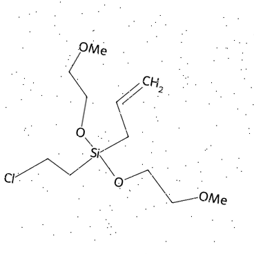 C=CC[Si](CCCl)(OCCOC)OCCOC